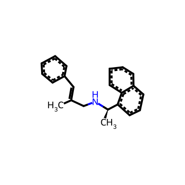 CC(=Cc1ccccc1)CN[C@H](C)c1cccc2ccccc12